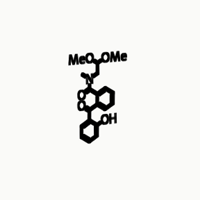 COC(CN(C)C(=O)c1ccccc1C(=O)c1ccccc1O)OC